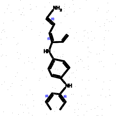 C=C/C(=C\C=C\N)Nc1ccc(NC(/C=C\C)=C/C)cc1